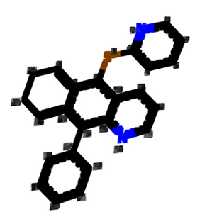 C1=c2c(Sc3ccccn3)c3cccnc3c(-c3ccccc3)c2=CCC1